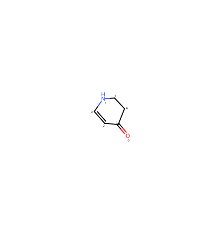 O=C1C=CNCC1